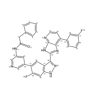 O=C(Cc1ccccc1)Nc1cncc(-c2cc3c(-c4nc5c(-c6cccc(F)c6)ccnc5[nH]4)n[nH]c3cc2F)c1